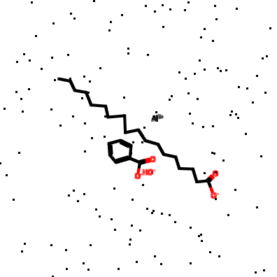 CCCCCCCCCCCCCCCCCC(=O)[O-].O=C([O-])c1ccccc1.[Al+3].[OH-]